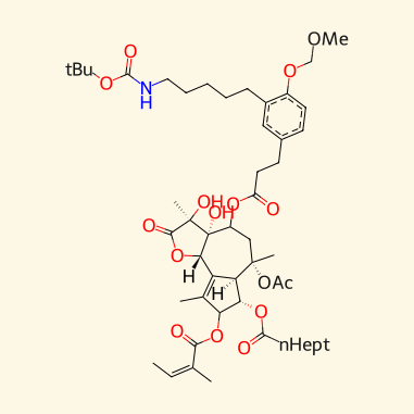 C/C=C(/C)C(=O)OC1C(C)=C2[C@H]([C@@H]1OC(=O)CCCCCCC)[C@@](C)(OC(C)=O)CC(OC(=O)CCc1ccc(OCOC)c(CCCCCNC(=O)OC(C)(C)C)c1)[C@@]1(O)[C@H]2OC(=O)[C@@]1(C)O